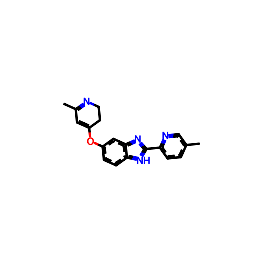 CC1=NCCC(Oc2ccc3[nH]c(-c4ccc(C)cn4)nc3c2)=C1